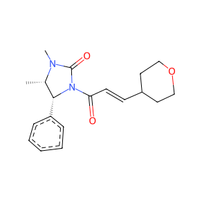 C[C@H]1[C@@H](c2ccccc2)N(C(=O)C=CC2CCOCC2)C(=O)N1C